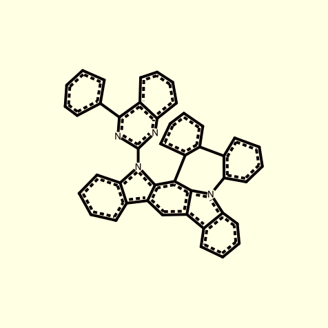 c1ccc(-c2nc(-n3c4ccccc4c4cc5c6ccccc6n6c5c(c43)-c3ccccc3-c3ccccc3-6)nc3ccccc23)cc1